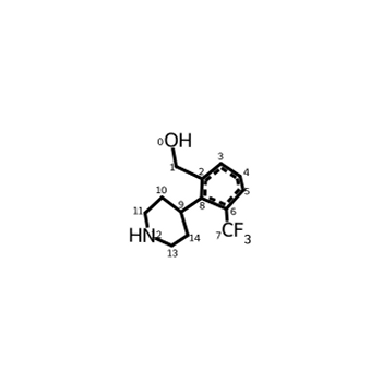 OCc1cccc(C(F)(F)F)c1C1CCNCC1